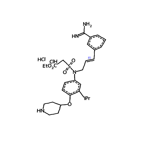 CCOC(=O)CS(=O)(=O)N(C/C=C/c1cccc(C(=N)N)c1)c1ccc(OC2CCNCC2)c(C(C)C)c1.Cl.Cl